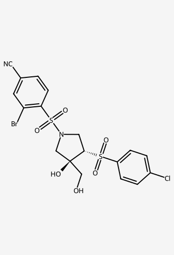 N#Cc1ccc(S(=O)(=O)N2C[C@H](S(=O)(=O)c3ccc(Cl)cc3)[C@](O)(CO)C2)c(Br)c1